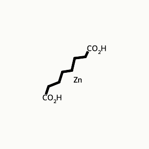 O=C(O)CCCCCCC(=O)O.[Zn]